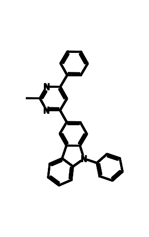 Cc1nc(-c2ccccc2)cc(-c2ccc3c(c2)c2ccccc2n3-c2ccccc2)n1